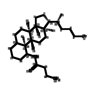 CC(C)CCC[C@@H](C)[C@H]1CC[C@H]2[C@@H]3CCC4CCCC(NC(=O)CCN)[C@]4(C)[C@H]3CC[C@]12C